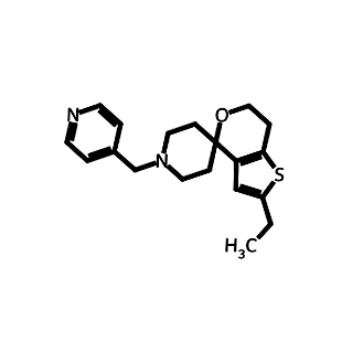 CCc1cc2c(s1)CCOC21CCN(Cc2ccncc2)CC1